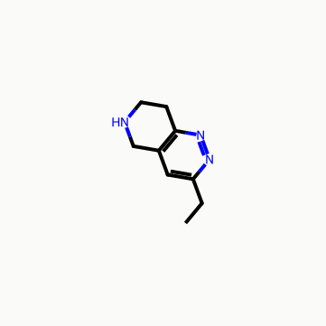 CCc1cc2c(nn1)CCNC2